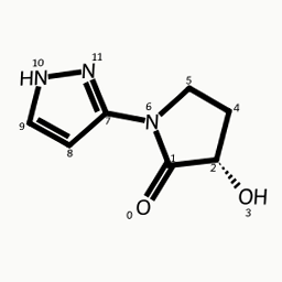 O=C1[C@@H](O)CCN1c1cc[nH]n1